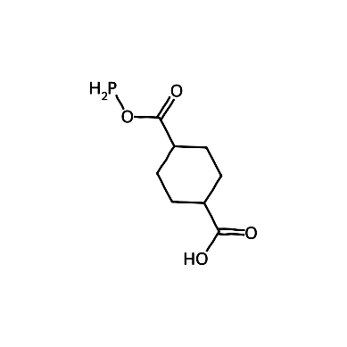 O=C(O)C1CCC(C(=O)OP)CC1